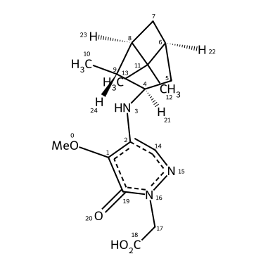 COc1c(N[C@@H]2C[C@@H]3C[C@H]([C@H]2C)C3(C)C)cnn(CC(=O)O)c1=O